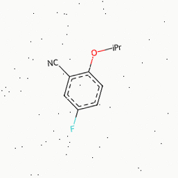 CC(C)Oc1c[c]c(F)cc1C#N